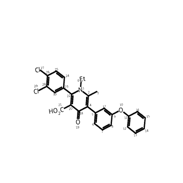 CCn1c(C)c(-c2cccc(Oc3ccccc3)c2)c(=O)c(C(=O)O)c1-c1ccc(Cl)c(Cl)c1